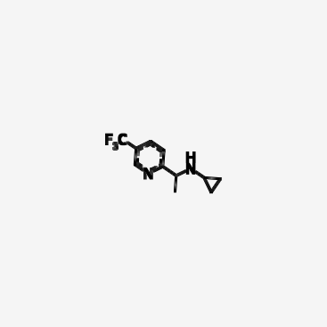 CC(NC1CC1)c1ccc(C(F)(F)F)cn1